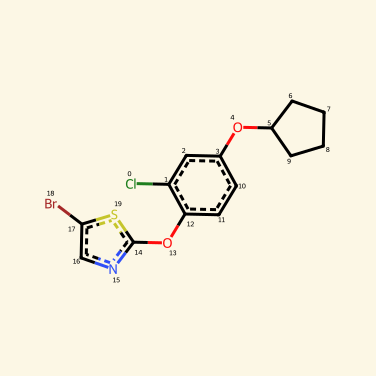 Clc1cc(OC2CCCC2)ccc1Oc1ncc(Br)s1